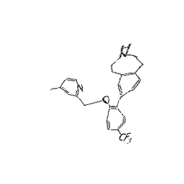 Cc1ccnc(COc2ccc(C(F)(F)F)cc2-c2ccc3c(c2)CCNCC3)c1